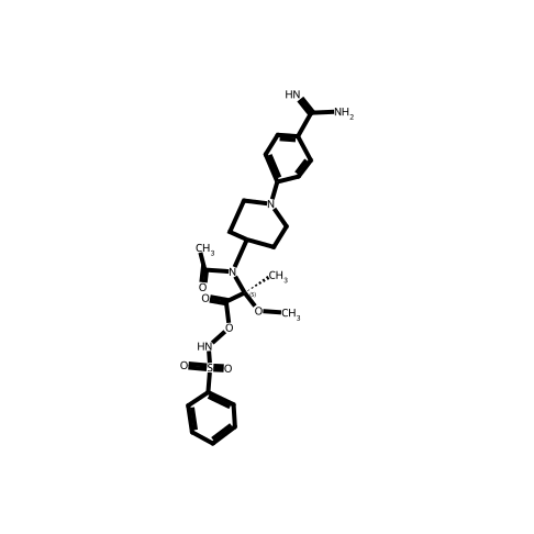 CO[C@@](C)(C(=O)ONS(=O)(=O)c1ccccc1)N(C(C)=O)C1CCN(c2ccc(C(=N)N)cc2)CC1